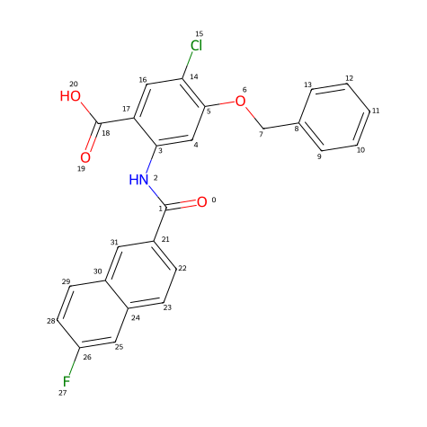 O=C(Nc1cc(OCc2ccccc2)c(Cl)cc1C(=O)O)c1ccc2cc(F)ccc2c1